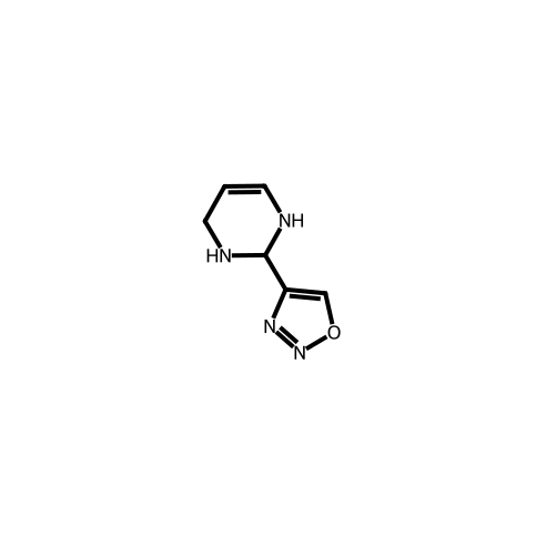 C1=CNC(c2conn2)NC1